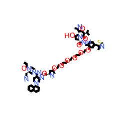 C=CC(=O)N1CCN(c2nc(OC[C@@H]3C[C@@H](OCCOCCOCCOCCOCCOc4cc(-c5scnc5C)ccc4CNC(=O)[C@@H]4C[C@@H](O)CN4C(=O)[C@@H](c4cc(C)no4)C(C)C)CN3C)nc3c2CCN(c2cccc4ccccc24)C3)C[C@@H]1CC#N